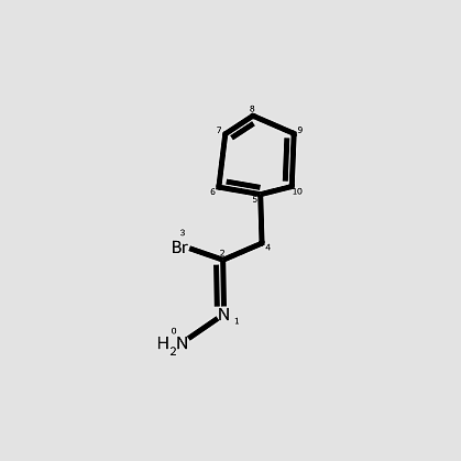 NN=C(Br)Cc1ccccc1